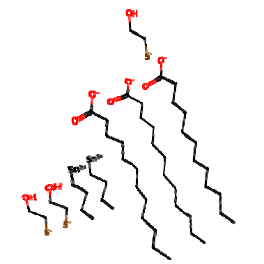 CCCCCCCCCCCC(=O)[O-].CCCCCCCCCCCC(=O)[O-].CCCCCCCCCCCC(=O)[O-].CCC[CH2][Sn+3].CCC[CH2][Sn+3].OCC[S-].OCC[S-].OCC[S-]